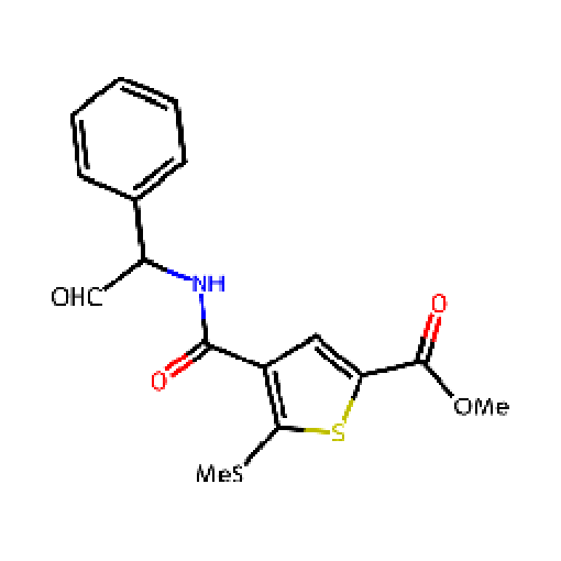 COC(=O)c1cc(C(=O)NC(C=O)c2ccccc2)c(SC)s1